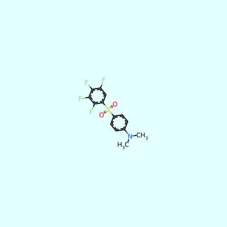 CN(C)c1ccc(S(=O)(=O)c2cc(F)c(F)c(F)c2F)cc1